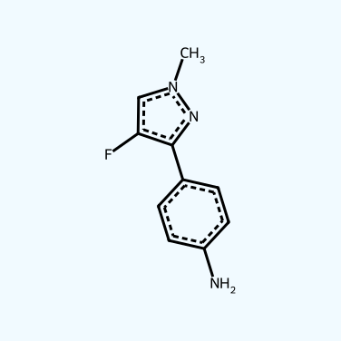 Cn1cc(F)c(-c2ccc(N)cc2)n1